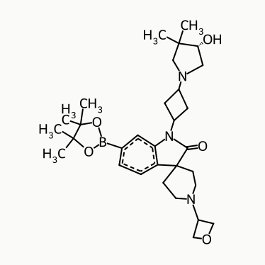 CC1(C)CN(C2CC(N3C(=O)C4(CCN(C5COC5)CC4)c4ccc(B5OC(C)(C)C(C)(C)O5)cc43)C2)C[C@H]1O